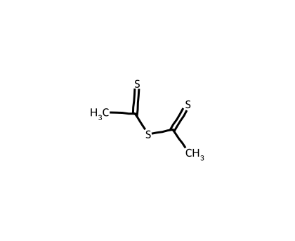 CC(=S)SC(C)=S